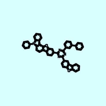 c1ccc(-c2cccc(-c3nc(-c4ccc5c(c4)oc4c5ccc5c4c4ccccc4n5-c4ccccc4)nc(-c4ccc5oc6ccccc6c5c4)n3)c2)cc1